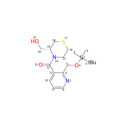 CC(C)(C)[Si](C)(C)OCc1ncccc1C(=O)N1CCSC[C@H]1CO